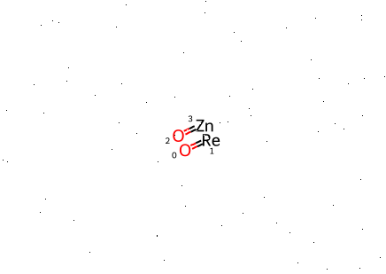 [O]=[Re].[O]=[Zn]